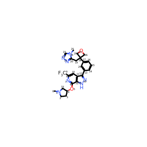 CN1CC[C@H](Oc2nc(C(F)(F)F)cc3c(-c4cccc(C5(Cc6nncn6C)COC5)c4)n[nH]c23)C1